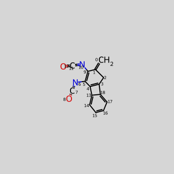 C=C1CC2=C(C(N=C=O)=C1N=C=O)c1ccccc12